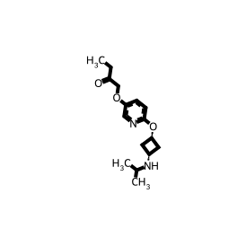 CCC(=O)COc1ccc(O[C@H]2C[C@@H](NC(C)C)C2)nc1